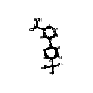 O=C(O)c1cncc(-c2ccc(C(F)(F)F)nc2)n1